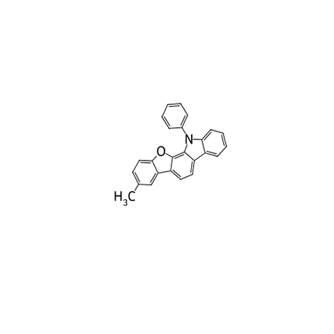 Cc1ccc2oc3c(ccc4c5ccccc5n(-c5ccccc5)c43)c2c1